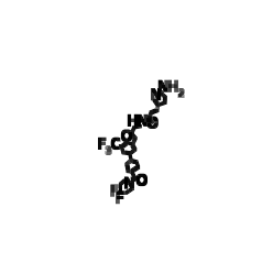 Nc1ccc(C=CC(=O)NCCc2cc3cc(-c4ccc(C(=O)N5CCC(F)(F)CC5)cc4)cc(C(F)(F)F)c3o2)cn1